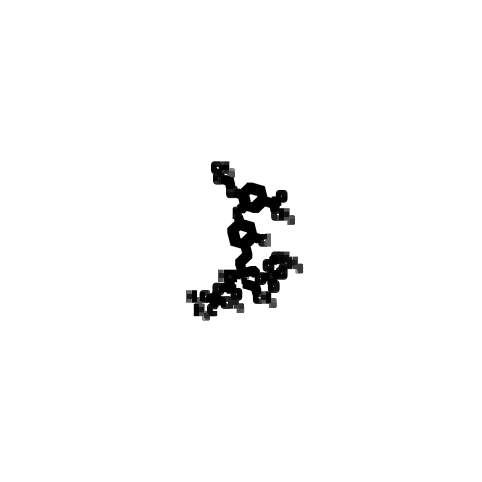 CCC[C@](CCc1ccc(Sc2cc(C(C)=O)ccc2OCOC)cc1Cl)(COP(=O)(OC)OC)NC(=O)OC(C)(C)C